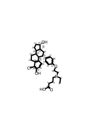 CCN(CCCC(=O)O)CCOc1ccc([C@H]2C[C@@]3(C)C(CC[C@@H]3O)C3CCc4c(ccc(O)c4Cl)C32)cc1